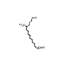 CCCCCCCCCCCCCCCCCCCC(C)CCCC(C)CCC